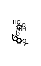 CC(C)Oc1ccc2ccnc(OC[C@@H]3C[C@H](O)C(=O)N3)c2c1